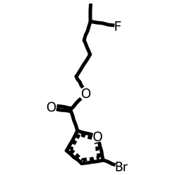 CC(F)CCCOC(=O)c1ccc(Br)o1